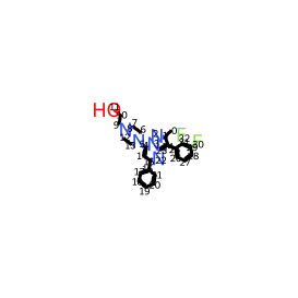 Cc1nn2c(N3CCN(CCO)CC3)cc(-c3ccccc3)nc2c1-c1cccc(F)c1F